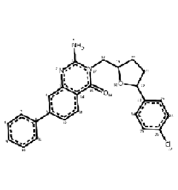 Nc1nc2cc(-c3ccccc3)ccc2c(=O)n1CC1CCC(c2ccc(Cl)cc2)O1